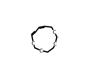 [CH]1CCC=CC=CCCCCCC1